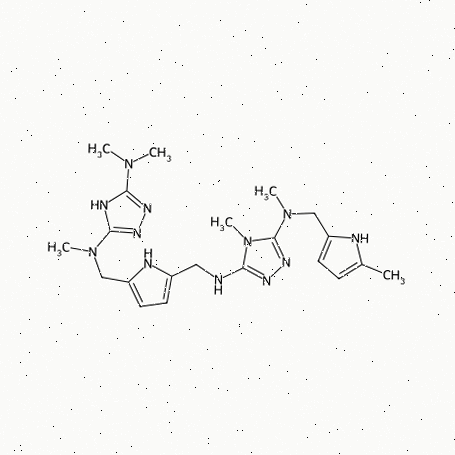 Cc1ccc(CN(C)c2nnc(NCc3ccc(CN(C)c4nnc(N(C)C)[nH]4)[nH]3)n2C)[nH]1